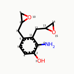 Nc1c(O)ccc(CC2CO2)c1CC1CO1